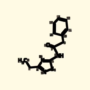 CCc1nsc(NC(=O)Cc2ccccc2)n1